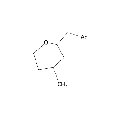 CC(=O)CC1CC(C)CCO1